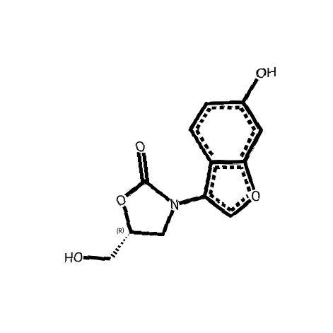 O=C1O[C@@H](CO)CN1c1coc2cc(O)ccc12